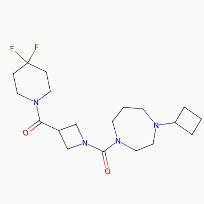 O=C(C1CN(C(=O)N2CCCN(C3CCC3)CC2)C1)N1CCC(F)(F)CC1